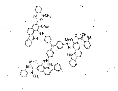 CCc1ccccc1N(C)OCc1cc2ccc3c4ccccc4[nH]c3c2c(N=Nc2ccc(N(c3ccc(N=Nc4c(OC)c(C(=O)N(C)c5ccccc5CC)cc5ccc6c7ccccc7[nH]c6c45)cc3)c3ccc(N=Nc4c(OC)c(C(=O)N(C)c5ccccc5CC)cc5ccc6c7ccccc7[nH]c6c45)cc3)cc2)c1OC